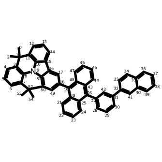 CC1(C)c2cccc3c2-n2c4c1cccc4c1cc(-c4c5ccccc5c(-c5cccc(-c6ccc7ccccc7c6)c5)c5ccccc45)cc(c12)C3(C)C